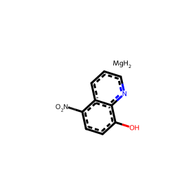 O=[N+]([O-])c1ccc(O)c2ncccc12.[MgH2]